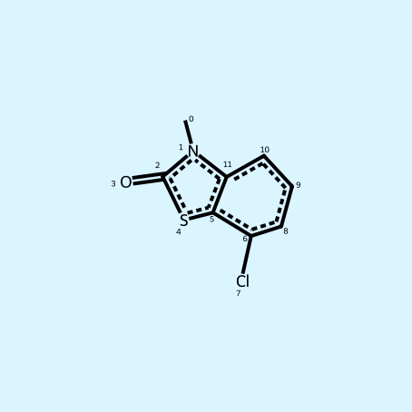 Cn1c(=O)sc2c(Cl)cccc21